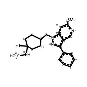 CSc1ncc2c(-c3ccccc3)nn(CC3CCC(I)(NC(=O)O)CC3)c2n1